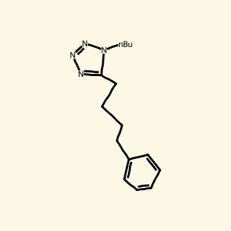 [CH2]CCCn1nnnc1CCCCc1ccccc1